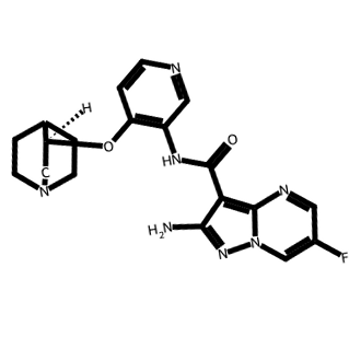 Nc1nn2cc(F)cnc2c1C(=O)Nc1cnccc1O[C@H]1CN2CCC1CC2